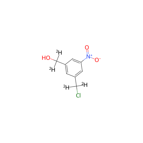 [2H]C([2H])(O)c1cc([N+](=O)[O-])cc(C([2H])([2H])Cl)c1